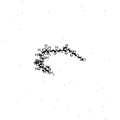 CCOCCOCCC(=O)NCCN1C(=O)CC(SCCNC(=O)CCNC(=O)[C@H](O)C(C)(C)COP(O)OC(O)OC[C@H]2O[C@@H](n3cnc4c(N)ncnc43)[C@@H](O)C2OP(=O)(O)O)C1=O